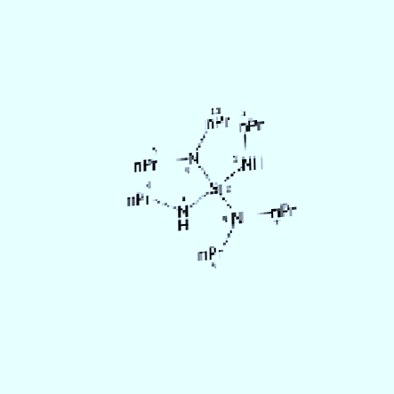 CCCN[Si](NCCC)(N(CCC)CCC)N(CCC)CCC